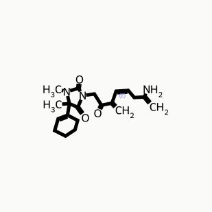 C=C(N)C/C=C\C(=C)C(=O)CN1C(=O)N(C)C(C)(C2=CCCCC2)C1=O